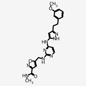 CNC(=O)c1cc(CNc2nccc(Nc3cc(CCc4cccc(OC)c4)n[nH]3)n2)on1